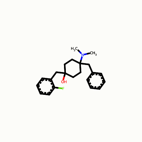 CN(C)C1(Cc2ccccc2)CCC(O)(Cc2ccccc2F)CC1